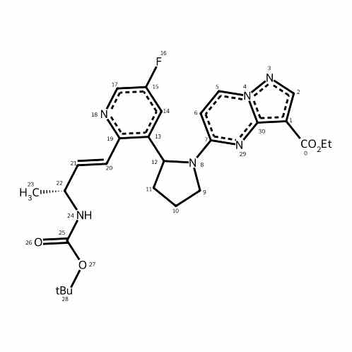 CCOC(=O)c1cnn2ccc(N3CCCC3c3cc(F)cnc3/C=C/[C@@H](C)NC(=O)OC(C)(C)C)nc12